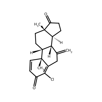 C=C1CC2=C(Cl)C(=O)C=C[C@]2(C)[C@@H]2CC[C@]3(C)C(=O)CC[C@H]3[C@H]12